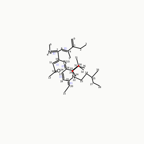 C=C(CC)/C(C)=C/C(=N\C)C(=C/C(C)=O)/N=C(\C=C/C(=C\C)N(CCC(C)CC)CC(C)C)C(C)CC